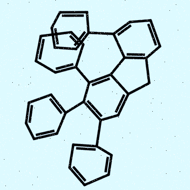 [c]1c2c(c(-c3ccccc3)c(-c3ccccc3)c1-c1ccccc1)-c1c(cccc1-c1ccccc1)C2